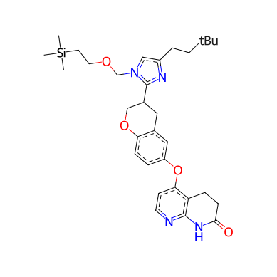 CC(C)(C)CCc1cn(COCC[Si](C)(C)C)c(C2COc3ccc(Oc4ccnc5c4CCC(=O)N5)cc3C2)n1